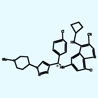 CC(C)(C)N1CCC(n2cc([C@@H](Nc3cc(Cl)c4ncc(C#N)c(NC5CCC5)c4c3)c3ccc(Cl)cc3)nn2)CC1